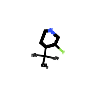 CCCC(C)(CCC)c1ccncc1F